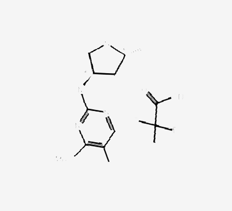 COc1nc(N[C@H]2CN[C@H](C)C2)ncc1Cl.O=C(O)C(F)(F)F